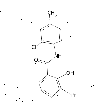 Cc1ccc(NC(=O)c2cccc(C(C)C)c2O)c(Cl)c1